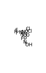 O=C(Nc1cc(Cl)c(Cl)cc1N1CCN(CCC(F)(F)F)CC1)c1ccc(CN2CC(O)C2)c(F)c1F